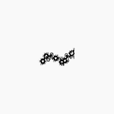 CN1CCC(NC(=O)c2cc3c(Nc4ccc(NC(=O)c5cccn(-c6ccccc6)c5=O)cc4)ccnc3cn2)CC1